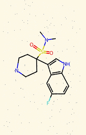 CN(C)S(=O)(=O)C1(c2c[nH]c3ccc(F)cc23)CC[N]CC1